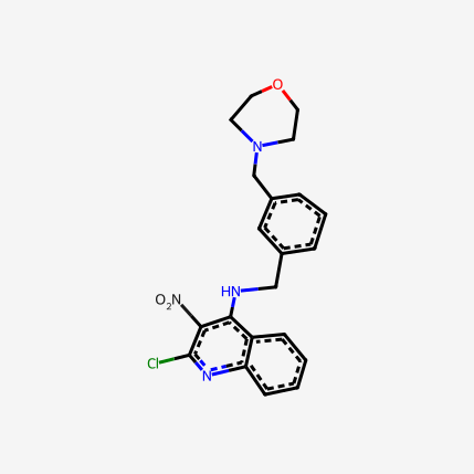 O=[N+]([O-])c1c(Cl)nc2ccccc2c1NCc1cccc(CN2CCOCC2)c1